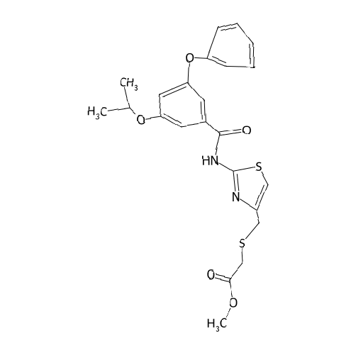 COC(=O)CSCc1csc(NC(=O)c2cc(Oc3ccccc3)cc(OC(C)C)c2)n1